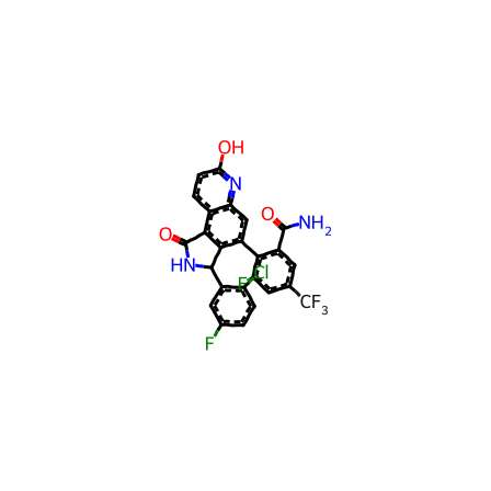 NC(=O)c1cc(C(F)(F)F)cc(F)c1-c1cc2nc(O)ccc2c2c1C(c1cc(F)ccc1Cl)NC2=O